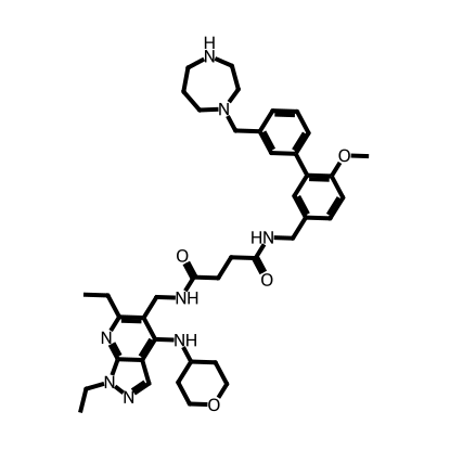 CCc1nc2c(cnn2CC)c(NC2CCOCC2)c1CNC(=O)CCC(=O)NCc1ccc(OC)c(-c2cccc(CN3CCCNCC3)c2)c1